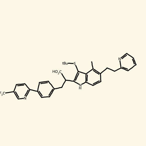 Cc1c(CCc2ccccn2)ccc2[nH]c(C(Cc3ccc(-c4ccc(C(F)(F)F)cn4)cc3)C(=O)O)c(SC(C)(C)C)c12